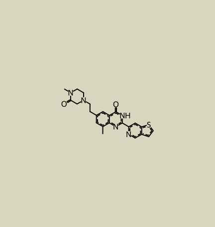 Cc1cc(CCN2CCN(C)C(=O)C2)cc2c(=O)[nH]c(-c3cc4sccc4cn3)nc12